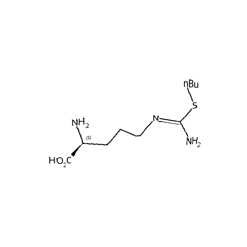 CCCCSC(N)=NCCC[C@H](N)C(=O)O